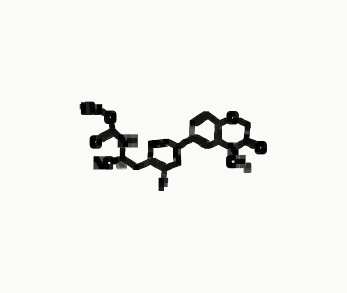 CN1C(=O)COc2ccc(-c3ccc(C[C@@H](C#N)NC(=O)OC(C)(C)C)c(F)c3)cc21